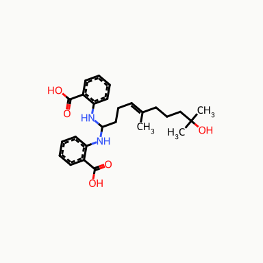 C/C(=C\CCC(Nc1ccccc1C(=O)O)Nc1ccccc1C(=O)O)CCCC(C)(C)O